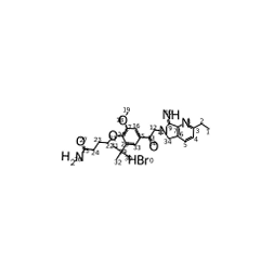 Br.CCc1ccc2c(n1)C(=N)N(CC(=O)c1cc(OC)c(OCCCC(N)=O)c(C(C)(C)C)c1)C2